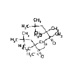 CC(C)(C)CC(C)(C)P(C)(=O)CC[P@@](C)(=O)C(C)(C)CC(C)(C)C